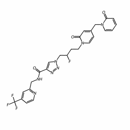 O=C(NCc1cc(C(F)(F)F)ccn1)c1cn(CC(F)CCn2ccc(Cn3ccccc3=O)cc2=O)nn1